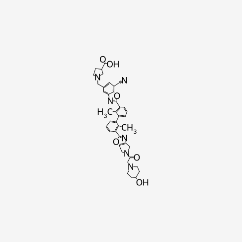 Cc1c(-c2nc3c(o2)CN(C(=O)CN2CCC(O)CC2)C3)cccc1-c1cccc(-c2nc3cc(CN4CCC(C(=O)O)C4)cc(C#N)c3o2)c1C